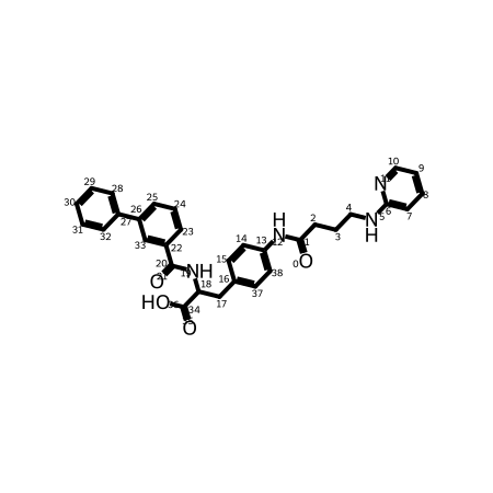 O=C(CCCNc1ccccn1)Nc1ccc(CC(NC(=O)c2cccc(-c3ccccc3)c2)C(=O)O)cc1